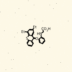 CCc1cc(CC)c2sc3ccccc3c(=O)c2c1.O=C(O)CNc1ccccc1